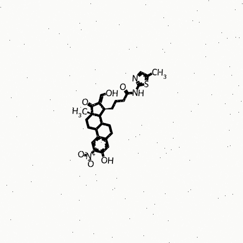 Cc1cnc(NC(=O)CCC[C@@H]2/C(=C\O)C(=O)[C@@]3(C)CCC4c5cc([N+](=O)[O-])c(O)cc5CCC4C23)s1